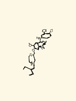 CCC(CC)CN1CCOC(COc2cc3ncnc(Nc4ccc(Cl)c(Cl)c4)c3cc2OC)C1